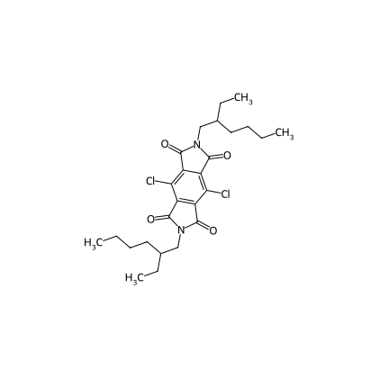 CCCCC(CC)Cn1c(=O)c2c(Cl)c3c(=O)n(CC(CC)CCCC)c(=O)c3c(Cl)c2c1=O